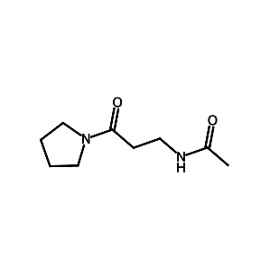 CC(=O)NCCC(=O)N1CCCC1